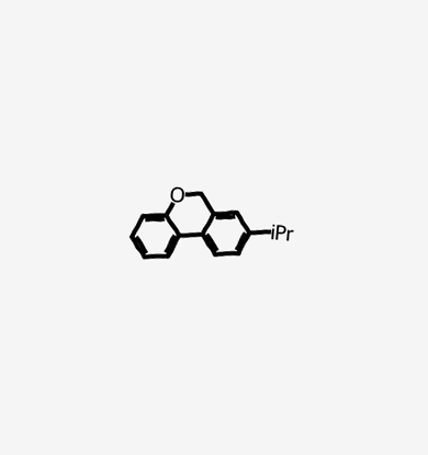 CC(C)c1ccc2c(c1)COc1ccccc1-2